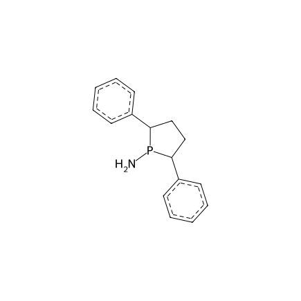 NP1C(c2ccccc2)CCC1c1ccccc1